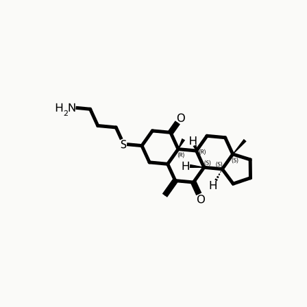 C=C1C(=O)[C@@H]2[C@@H](CC[C@]3(C)CCC[C@@H]23)[C@@]2(C)C(=O)CC(SCCCN)CC12